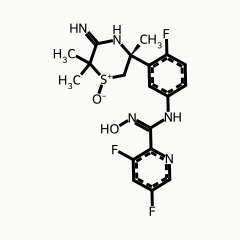 CC1(C)C(=N)N[C@](C)(c2cc(N/C(=N/O)c3ncc(F)cc3F)ccc2F)C[S+]1[O-]